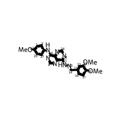 COc1ccc(Nc2ncnc3c(NN=Cc4ccc(OC)c(OC)c4)ncnc23)cc1